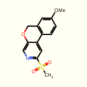 COc1ccc2c(c1)COc1cnc(S(C)(=O)=O)cc1-2